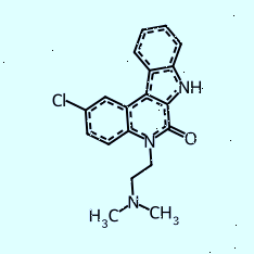 CN(C)CCn1c(=O)c2[nH]c3ccccc3c2c2cc(Cl)ccc21